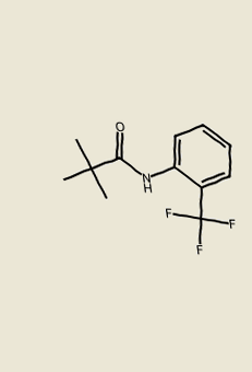 CC(C)(C)C(=O)Nc1ccccc1C(F)(F)F